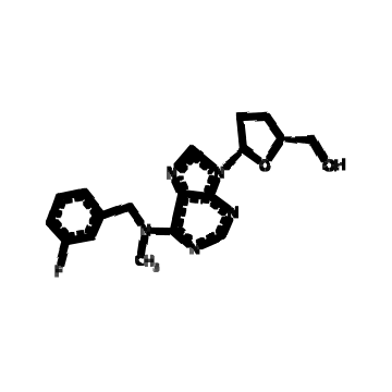 CN(Cc1cccc(F)c1)c1ncnc2c1ncn2[C@H]1CC[C@@H](CO)O1